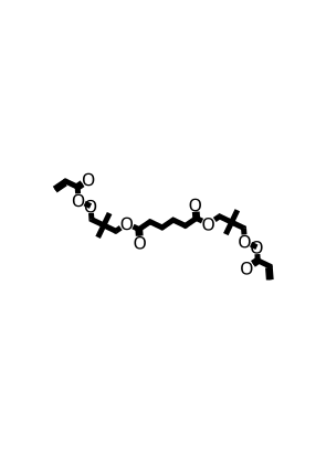 C=CC(=O)OOCC(C)(C)COC(=O)CCCCC(=O)OCC(C)(C)COOC(=O)C=C